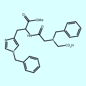 COC(=O)C(Cc1cn(Cc2ccccc2)cn1)NC(=O)CN(CC(=O)O)Cc1ccccc1